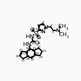 CN(C)CCn1ccc(S(=O)(=O)NC(=O)Nc2c3c(cc4c2CCC4)CC=C3)n1